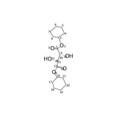 O=C(OC1CCCCC1)[C@H](O)[C@@H](O)C(=O)OC1CCCCC1